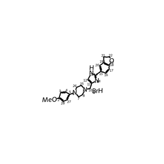 Br.COc1ccc(N2CCN(Cc3c[nH]c(-c4ccc5c(c4)CCO5)n3)CC2)cc1